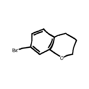 Brc1ccc2c(c1)OCCC2